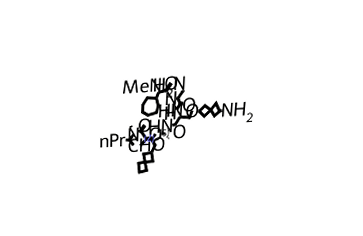 CCCC(C=O)N(C)C(=O)/C(C)=C(/CC1CC2(CCC2)C1)O[C@@H](C)NC(=O)C(COC1CC2(CC(N)C2)C1)NC(=O)C(CN)NC(=O)C(NC)C1CCCCCC1